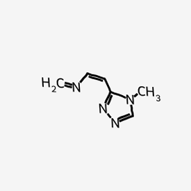 C=N/C=C\c1nncn1C